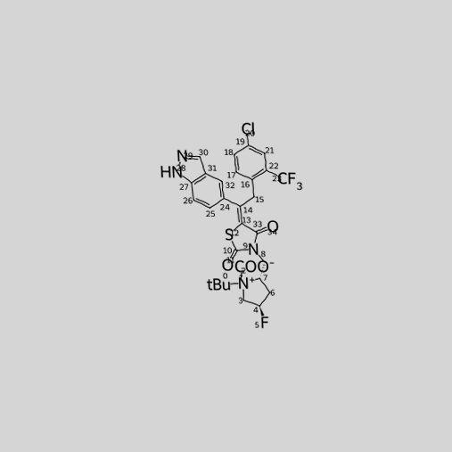 CC(C)(C)[N+]1(C(=O)[O-])C[C@H](F)C[C@H]1CN1C(=O)S/C(=C(/Cc2ccc(Cl)cc2C(F)(F)F)c2ccc3[nH]ncc3c2)C1=O